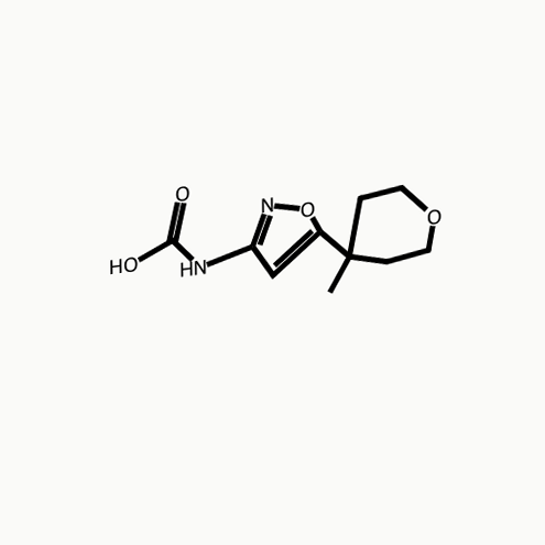 CC1(c2cc(NC(=O)O)no2)CCOCC1